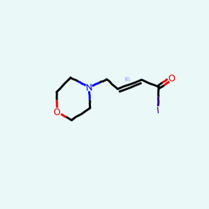 O=C(I)/C=C/CN1CCOCC1